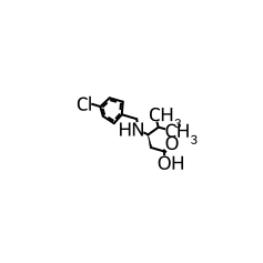 CC(C)[C@@H](CC(=O)O)NCc1ccc(Cl)cc1